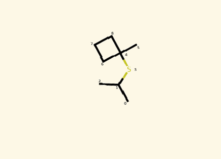 CC(C)SC1(C)CCC1